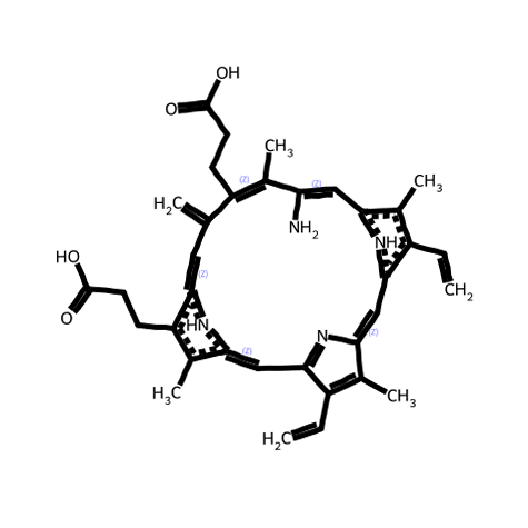 C=CC1=C(C)/C2=C/c3[nH]c(c(C)c3C=C)/C=C(N)/C(C)=C(/CCC(=O)O)C(=C)/C=c3\[nH]/c(c(C)c3CCC(=O)O)=C\C1=N2